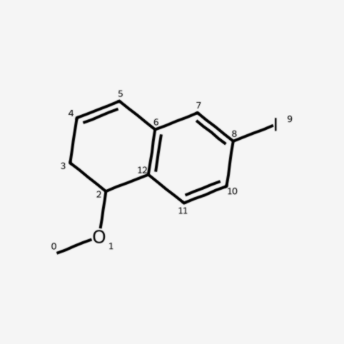 COC1CC=Cc2cc(I)ccc21